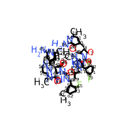 CC[C@@H](NC(=O)N1C(=O)[C@H](Cc2cc(C)nc(N)c2)[C@H]1C(=O)N(C)c1ccn(CCC[C@@H](NC(=O)N2C(=O)[C@H](Cc3cc(C)nc(N)c3)[C@H]2C(=O)N(C)c2ccn(C)n2)c2cc(C)ccc2F)n1)c1cc(F)ccc1F